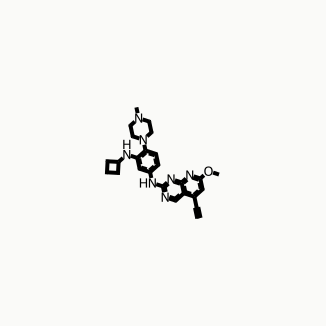 C#Cc1cc(OC)nc2nc(Nc3ccc(N4CCN(C)CC4)c(NC4CCC4)c3)ncc12